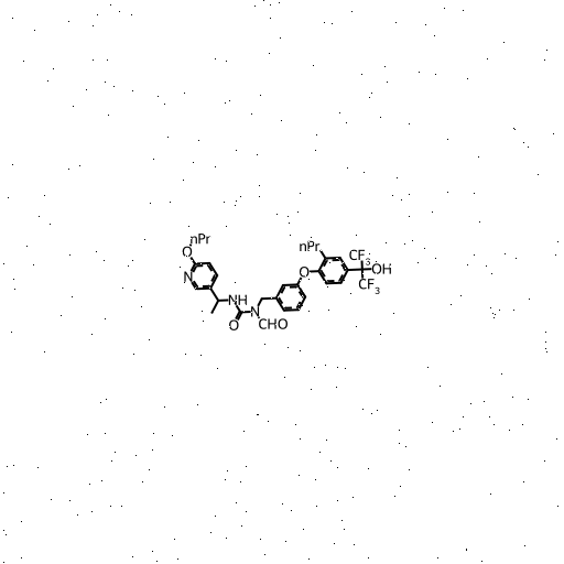 CCCOc1ccc(C(C)NC(=O)N(C=O)Cc2cccc(Oc3ccc(C(O)(C(F)(F)F)C(F)(F)F)cc3CCC)c2)cn1